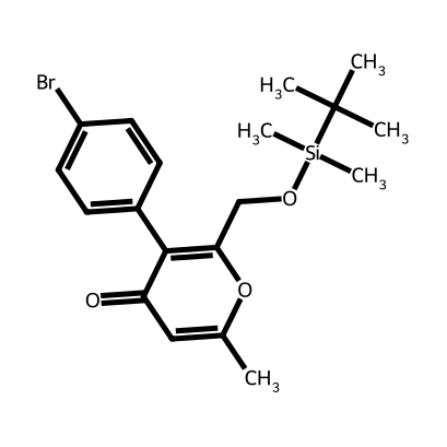 Cc1cc(=O)c(-c2ccc(Br)cc2)c(CO[Si](C)(C)C(C)(C)C)o1